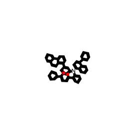 c1ccc(-c2ccc(-c3ccccc3N(c3cccc(-c4cccc5c4ccc4ccccc45)c3)c3ccc(-c4ccccc4)c4ccccc34)cc2)cc1